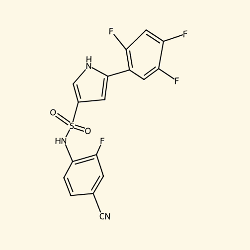 N#Cc1ccc(NS(=O)(=O)c2c[nH]c(-c3cc(F)c(F)cc3F)c2)c(F)c1